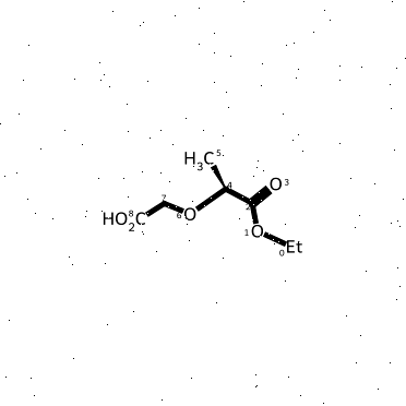 CCOC(=O)[C@H](C)OCC(=O)O